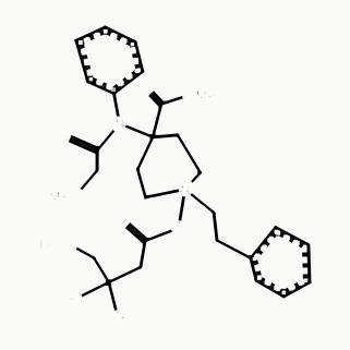 COCC(=O)N(c1ccccc1)C1(C(=O)OC)CC[N+](CCc2ccccc2)(OC(=O)CC(O)(CC(=O)O)C(=O)[O-])CC1